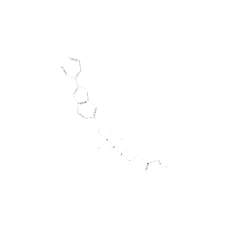 C=CC(=O)OCC(F)(F)C(F)(F)C(F)(F)COc1ccc2cc(-c3ccccc3)sc2c1